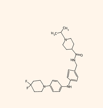 CC(C)N1CCC(C(=O)NCc2ccc(Nc3ccc(N4CCC(F)(F)CC4)cc3)cc2)CC1